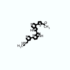 CCNCc1cncc(-c2ccc3[nH]nc(-c4cc5c(-c6ccc(C(C)=O)s6)cncc5[nH]4)c3n2)c1